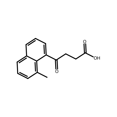 Cc1cccc2cccc(C(=O)CCC(=O)O)c12